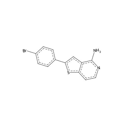 Nc1nccc2sc(-c3ccc(Br)cc3)cc12